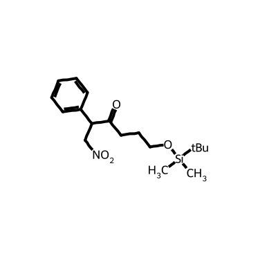 CC(C)(C)[Si](C)(C)OCCCC(=O)C(C[N+](=O)[O-])c1ccccc1